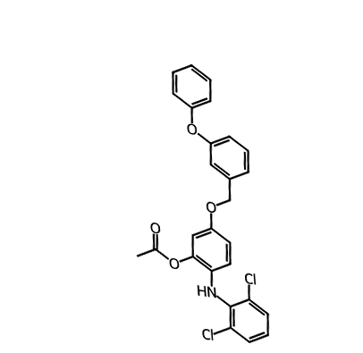 CC(=O)Oc1cc(OCc2cccc(Oc3ccccc3)c2)ccc1Nc1c(Cl)cccc1Cl